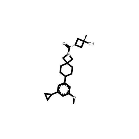 COc1cc(C2CC2)cc(C2CCC3(CC2)CN(C(=O)[C@H]2C[C@@](C)(O)C2)C3)c1